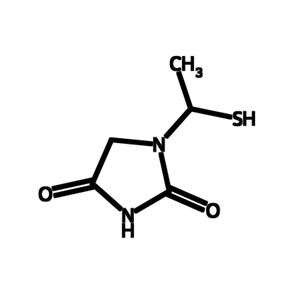 CC(S)N1CC(=O)NC1=O